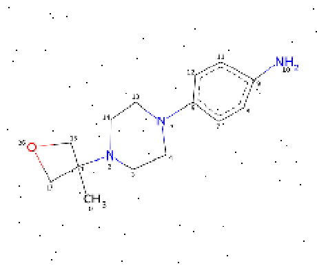 CC1(N2CCN(c3ccc(N)cc3)CC2)COC1